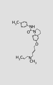 C=CCN(C)CC=CCOc1ccc2c(c1)CCCN2C(=O)Nc1ccc(C)cc1